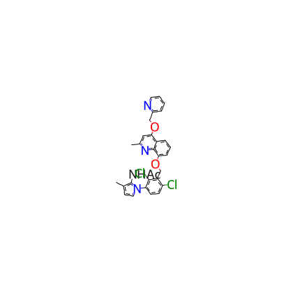 CC(=O)Nc1c(C)ccn1-c1ccc(Cl)c(COc2cccc3c(OCc4ccccn4)cc(C)nc23)c1Cl